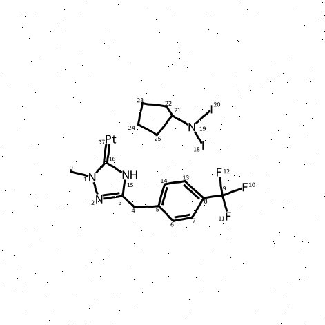 Cn1nc(Cc2ccc(C(F)(F)F)cc2)[nH][c]1=[Pt].IN(I)C1CCCC1